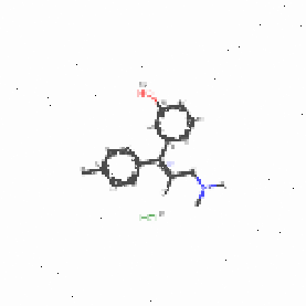 C/C(CN(C)C)=C(\c1ccc(C)cc1)c1cccc(O)c1.Cl